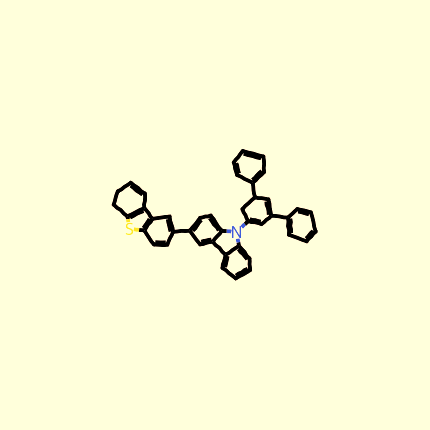 C1=Cc2c(sc3ccc(-c4ccc5c(c4)c4ccccc4n5C4=CC(c5ccccc5)=CC(c5ccccc5)C4)cc23)CC1